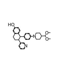 COC(OC)C1CCN(c2ccc(C3c4ccc(O)cc4CCC3c3cccnc3)cc2)CC1